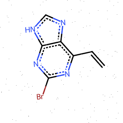 C=Cc1nc(Br)nc2[nH]cnc12